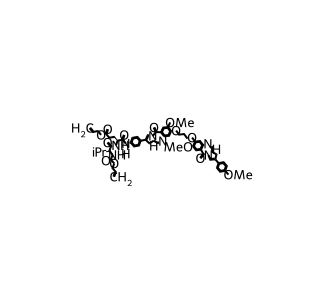 C=CCOC(=O)CC[C@H](NC(=O)[C@@H](NC(=O)OCC=C)C(C)C)C(=O)Nc1ccc(C2=CN3C(=O)c4cc(OC)c(OCCCOc5cc6c(cc5OC)C(=O)N5C=C(c7ccc(OC)cc7)C[C@H]5C=N6)cc4N=C[C@@H]3C2)cc1